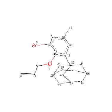 C=CCOc1c(Br)cc(C)cc1C12CC3CC(CC(C3)C1)C2